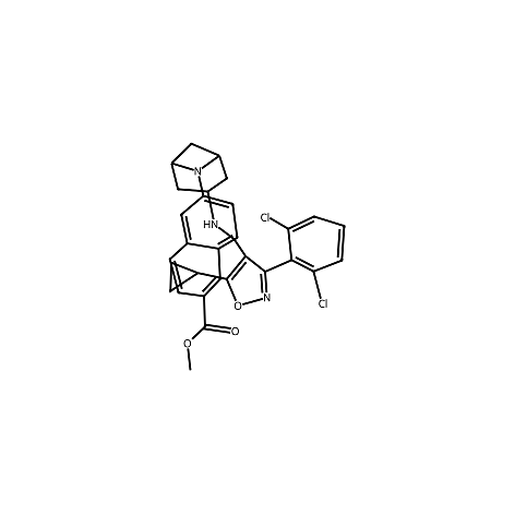 COC(=O)c1ccc2cc(N3C4CC(NCc5c(-c6c(Cl)cccc6Cl)noc5C5CC5)CC3C4)ccc2c1